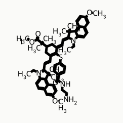 CCN1C(=CC=C2CC(C(C)(C)C(=O)OC)CC(C=CC3=[N+](CC)c4ccc5cc(OC)ccc5c4C3(C)C)=C2Sc2ccc(C(=O)NCCN)cc2)C(C)(C)c2c1ccc1cc(OC)ccc21.[I-]